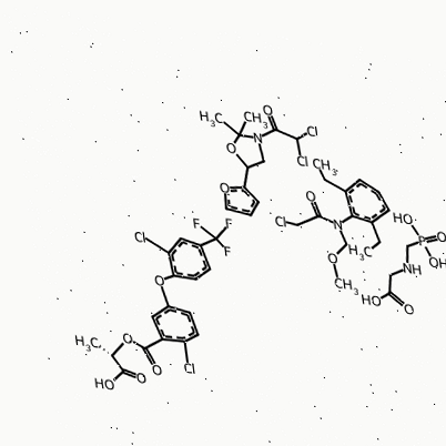 CC1(C)OC(c2ccco2)CN1C(=O)C(Cl)Cl.CCc1cccc(CC)c1N(COC)C(=O)CCl.C[C@H](OC(=O)c1cc(Oc2ccc(C(F)(F)F)cc2Cl)ccc1Cl)C(=O)O.O=C(O)CNCP(=O)(O)O